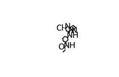 C=CC(=O)Nc1cccc(Nc2cc(Cl)nc3ccnn23)c1